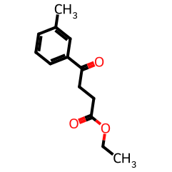 CCOC(=O)CCC(=O)c1cccc(C)c1